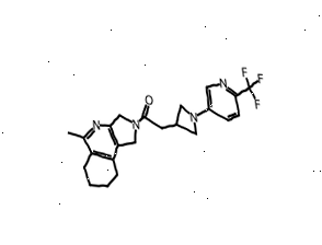 Cc1nc2c(c3c1CCCC3)CN(C(=O)CC1CN(c3ccc(C(F)(F)F)nc3)C1)C2